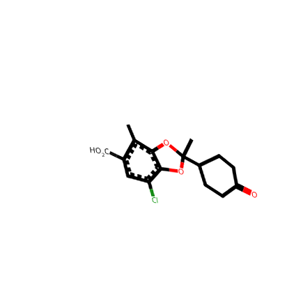 Cc1c(C(=O)O)cc(Cl)c2c1OC(C)(C1CCC(=O)CC1)O2